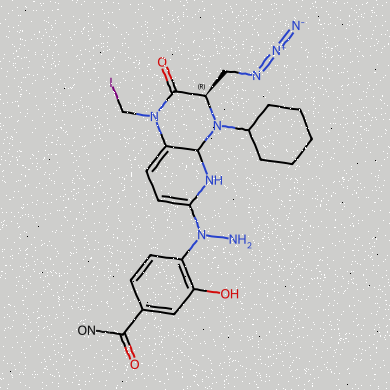 [N-]=[N+]=NC[C@@H]1C(=O)N(CI)C2=CC=C(N(N)c3ccc(C(=O)N=O)cc3O)NC2N1C1CCCCC1